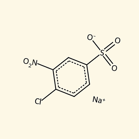 O=[N+]([O-])c1cc(S(=O)(=O)[O-])ccc1Cl.[Na+]